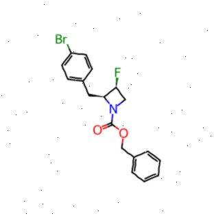 O=C(OCc1ccccc1)N1C[C@H](F)[C@@H]1Cc1ccc(Br)cc1